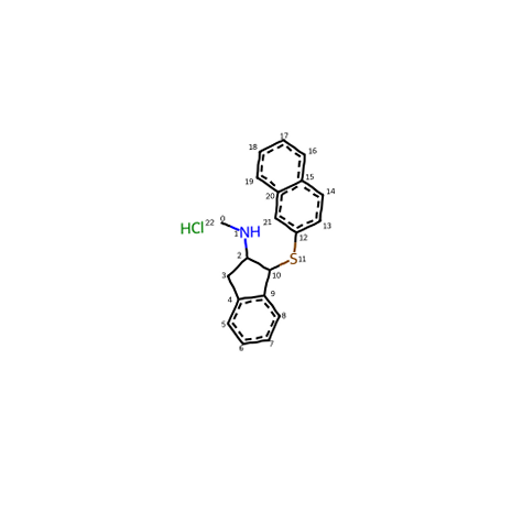 CNC1Cc2ccccc2C1Sc1ccc2ccccc2c1.Cl